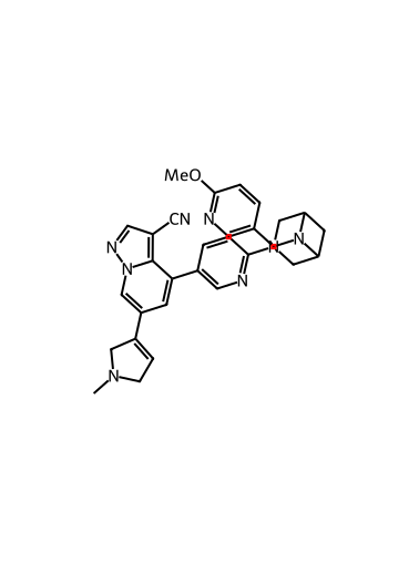 COc1ccc(CN2C3CC2CN(c2ccc(-c4cc(C5=CCN(C)C5)cn5ncc(C#N)c45)cn2)C3)cn1